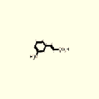 NC1=CC=CC(C=CC(=O)O)C1